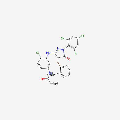 CCCCCCCC(=O)Nc1ccc(Cl)c(NC2=NN(c3c(Cl)cc(Cl)cc3Cl)C(=O)C2Sc2ccccc2NC(C)=O)c1